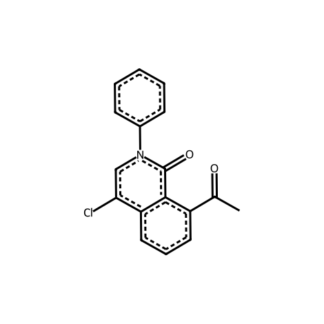 CC(=O)c1cccc2c(Cl)cn(-c3ccccc3)c(=O)c12